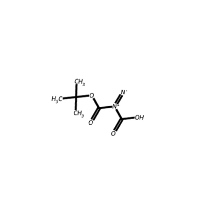 CC(C)(C)OC(=O)[N+](=[N-])C(=O)O